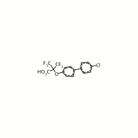 O=C(O)C(Oc1ccc(-c2ccc(Cl)cc2)cc1)(C(F)(F)F)C(F)(F)F